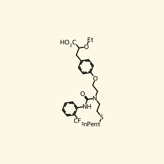 CCCCCSCCN(CCOc1ccc(CC(OCC)C(=O)O)cc1)C(=O)Nc1ccccc1C(F)(F)F